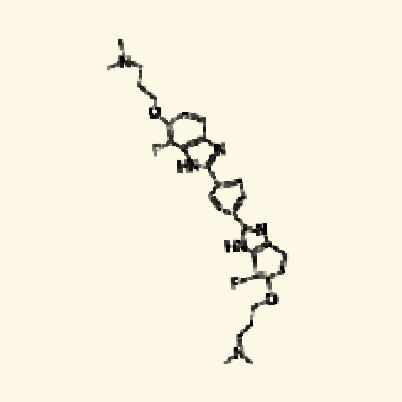 CN(C)CCCOc1ccc2nc(-c3ccc(-c4nc5ccc(OCCCN(C)C)c(F)c5[nH]4)cc3)[nH]c2c1F